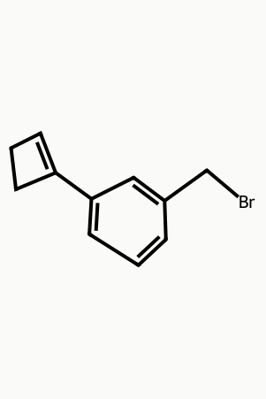 BrCc1cccc(C2=CCC2)c1